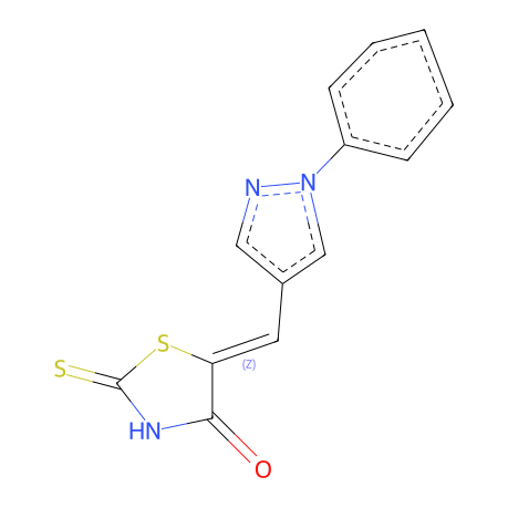 O=C1NC(=S)S/C1=C\c1cnn(-c2ccccc2)c1